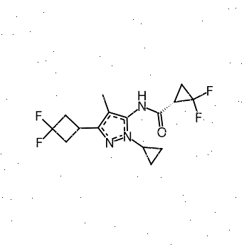 Cc1c(C2CC(F)(F)C2)nn(C2CC2)c1NC(=O)[C@@H]1CC1(F)F